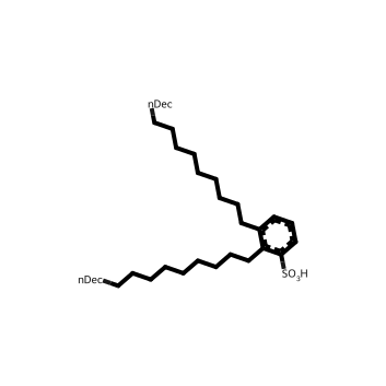 CCCCCCCCCCCCCCCCCCCc1cccc(S(=O)(=O)O)c1CCCCCCCCCCCCCCCCCCC